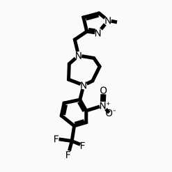 Cn1ccc(CN2CCCN(c3ccc(C(F)(F)F)cc3[N+](=O)[O-])CC2)n1